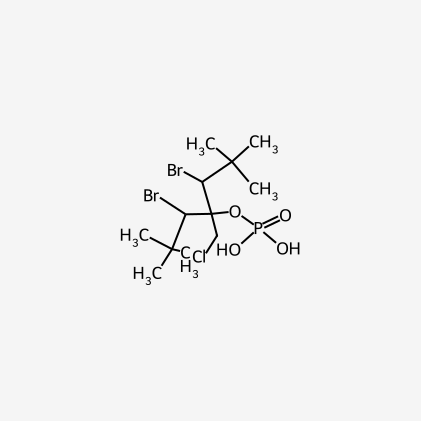 CC(C)(C)C(Br)C(CCl)(OP(=O)(O)O)C(Br)C(C)(C)C